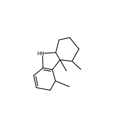 CC1CC=CC2=C1C1(C)C(C)CCCC1N2